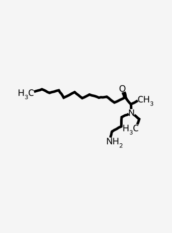 CCCCCCCCCCCC(=O)C(C)N(CC)CCCN